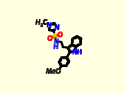 COc1ccc(-c2[nH]c3ccccc3c2CCNS(=O)(=O)c2cn(C)cn2)cc1